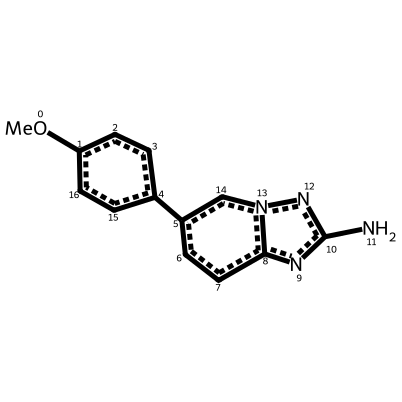 COc1ccc(-c2ccc3nc(N)nn3c2)cc1